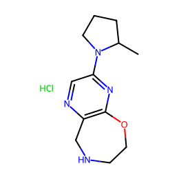 CC1CCCN1c1cnc2c(n1)OCCNC2.Cl